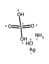 Cl.N.O=S(=O)(O)O.[Ag]